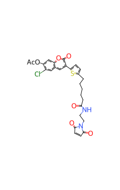 CC(=O)Oc1cc2oc(=O)c(-c3ccc(CCCCCC(=O)NCCN4C(=O)C=CC4=O)s3)cc2cc1Cl